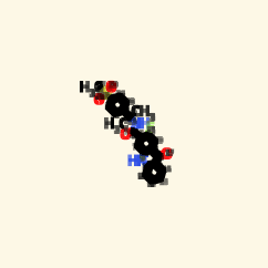 CC(C)(NC(=O)c1cc2[nH]c3ccccc3c(=O)c2cc1F)c1ccc(S(C)(=O)=O)cc1